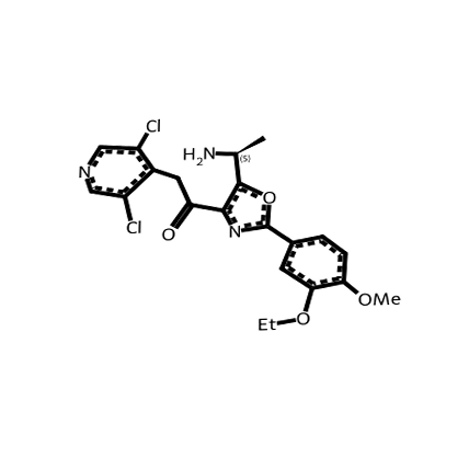 CCOc1cc(-c2nc(C(=O)Cc3c(Cl)cncc3Cl)c([C@H](C)N)o2)ccc1OC